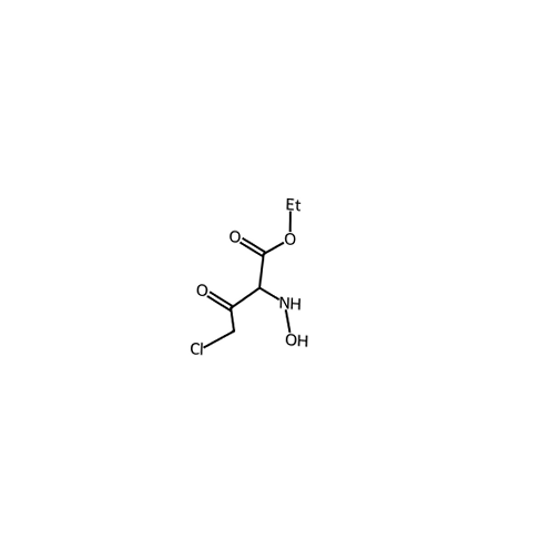 CCOC(=O)C(NO)C(=O)CCl